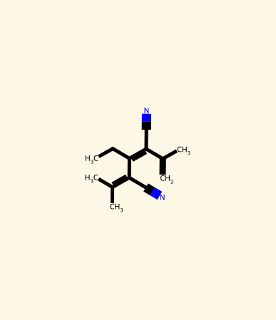 C=C(C)/C(C#N)=C(/CC)C(C#N)=C(C)C